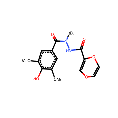 COc1cc(C(=O)N(NC(=O)C2=COC=CO2)C(C)(C)C)cc(OC)c1O